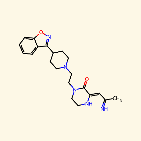 CC(=N)/C=C1\NCCN(CCN2CCC(c3noc4ccccc34)CC2)C1=O